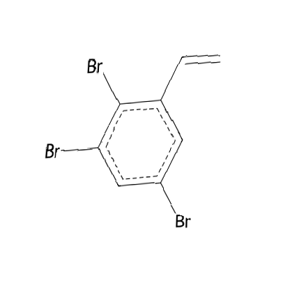 C=Cc1cc(Br)cc(Br)c1Br